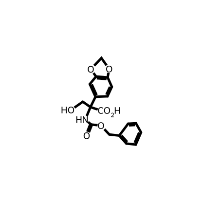 O=C(NC(CO)(C(=O)O)c1ccc2c(c1)OCO2)OCc1ccccc1